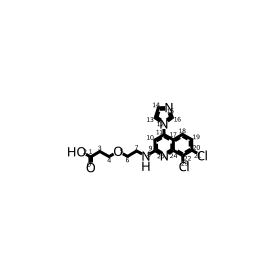 O=C(O)CCOCCNc1cc(-n2ccnc2)c2ccc(Cl)c(Cl)c2n1